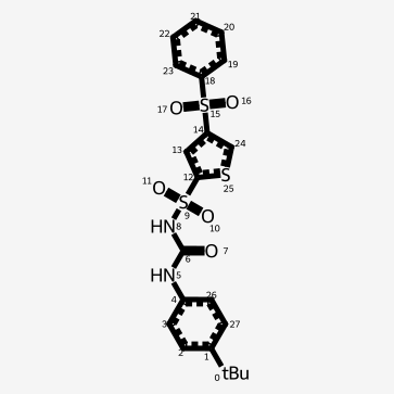 CC(C)(C)c1ccc(NC(=O)NS(=O)(=O)c2cc(S(=O)(=O)c3ccccc3)cs2)cc1